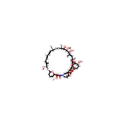 CO[C@H]1CC2CC[C@@H](C)C(O)(O2)C(=O)C(=O)N2CCCC3[C@H]2C(=O)O[C@@H](CC(=O)[C@H](C)/C=C(\C)[C@@H](O)[C@@H](OC)C(=O)[C@H](C)CC[C@H](C)/C=C/C=C/C=C/1C)[C@H]3C[C@@H]1CC[C@@H](O)[C@H](OC)C1